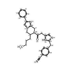 CCCCC1Cn2cc(-c3ccccc3)nc2CN1C(=O)Cc1cnc(Cc2ccc(C#N)cc2)[nH]1